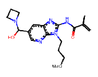 C=C(C)C(=O)Nc1nc2cc(C(O)N3CCC3)cnc2n1CCCOC